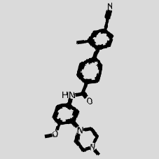 COc1ccc(NC(=O)c2ccc(-c3ccc(C#N)cc3C)cc2)cc1N1CCN(C)CC1